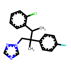 CC(c1ccccc1Cl)C(C)(Cn1cncn1)c1ccc(F)cc1